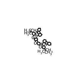 CC(C)(C)c1cc2c3c(c1)-n1c4ccccc4c4cccc(c41)B3c1cc3c(cc1O2)oc1cc2c(cc13)B1c3c(cc(C(C)(C)C)cc3-n3c4ccccc4c4cccc1c43)O2